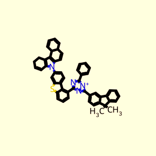 CC1(C)c2ccccc2-c2cc(C3n4c(-c5cccc6sc7cc(-n8c9c(c%10c8C=CC8C=CC=CC%108)CCC=C9)ccc7c56)nc(-c5ccccc5)[n+]43)ccc21